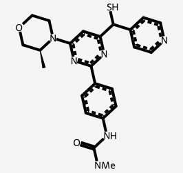 CNC(=O)Nc1ccc(-c2nc(C(S)c3ccncc3)cc(N3CCOC[C@@H]3C)n2)cc1